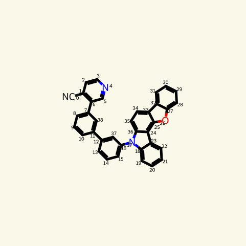 N#Cc1ccncc1-c1cccc(-c2cccc(-n3c4ccccc4c4c5oc6ccccc6c5ccc43)c2)c1